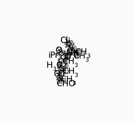 CC(C)C1=C2C3CCC4C(C)(CCC5C(C)C(OC(=O)C6CC(C=O)C6C)CCC54C)C3CCC2(CC(=O)N(CCN(C)C)CC2(c3ccc(Cl)cc3)CC2)CC1=O